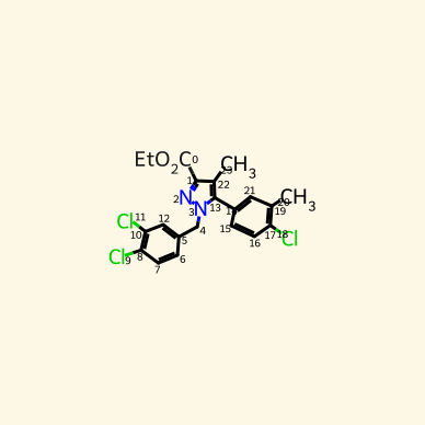 CCOC(=O)c1nn(Cc2ccc(Cl)c(Cl)c2)c(-c2ccc(Cl)c(C)c2)c1C